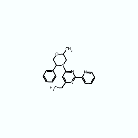 CCc1cc(N2CC(C)OCC2c2ccccc2)nc(-c2ccccn2)n1